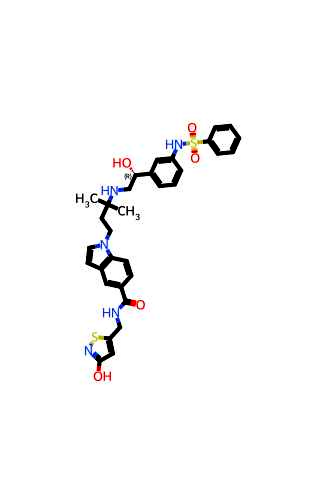 CC(C)(CCn1ccc2cc(C(=O)NCc3cc(O)ns3)ccc21)NC[C@H](O)c1cccc(NS(=O)(=O)c2ccccc2)c1